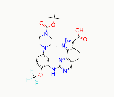 Cn1nc(C(=O)O)c2c1-c1nc(Nc3cc(N4CCN(C(=O)OC(C)(C)C)CC4)ccc3OC(F)(F)F)ncc1CC2